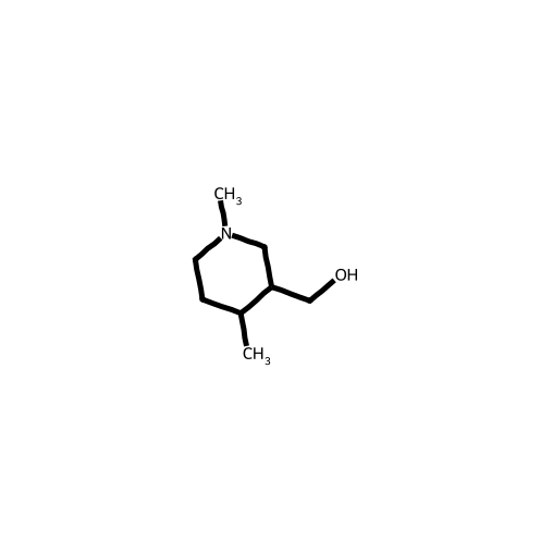 CC1CCN(C)CC1CO